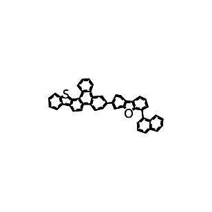 c1ccc2c(-c3cccc4c3oc3cc(-c5ccc6c(c5)c5ccccc5c5c6ccc6c7ccccc7sc65)ccc34)cccc2c1